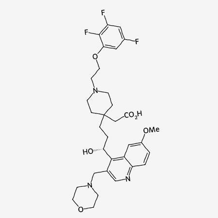 COc1ccc2ncc(CN3CCOCC3)c([C@H](O)CCC3(CC(=O)O)CCN(CCOc4cc(F)cc(F)c4F)CC3)c2c1